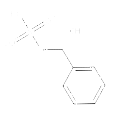 C[C@@H](OS(C)(=O)=O)c1ccccc1